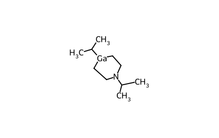 CC(C)N1C[CH2][Ga]([CH](C)C)[CH2]C1